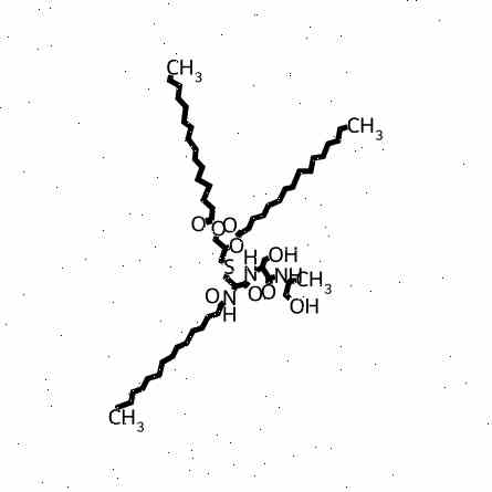 CCCCCCCCCCCCCCCC(=O)NC(CSCC(COC(=O)CCCCCCCCCCCCCCC)OC(=O)CCCCCCCCCCCCCCC)C(=O)NC(CO)C(=O)NC(C)CO